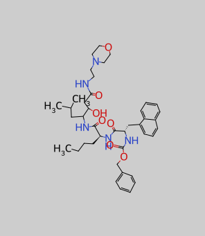 CCCC[C@H](NC(=O)[C@H](Cc1cccc2ccccc12)NC(=O)OCc1ccccc1)C(=O)NC(CC(C)C)C(O)CC(=O)NCCN1CCOCC1